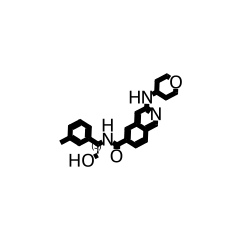 Cc1cccc([C@@H](CO)NC(=O)c2ccc3cnc(NC4CCOCC4)cc3c2)c1